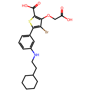 O=C(O)COc1c(C(=O)O)sc(-c2cccc(NCCC3CCCCC3)c2)c1Br